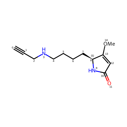 C#CCNCCCC[C@@H]1NC(=O)C=C1OC